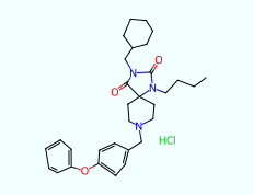 CCCCN1C(=O)N(CC2CCCCC2)C(=O)C12CCN(Cc1ccc(Oc3ccccc3)cc1)CC2.Cl